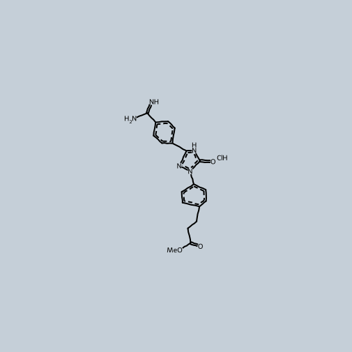 COC(=O)CCc1ccc(-n2nc(-c3ccc(C(=N)N)cc3)[nH]c2=O)cc1.Cl